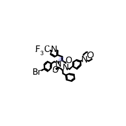 CN(Cc1ccc(Br)cc1)C(=O)C(Cc1ccccc1)N(Cc1ccc(N2CCOCC2)cc1)C(=O)/C=C/c1ccc(C(F)(F)F)nc1